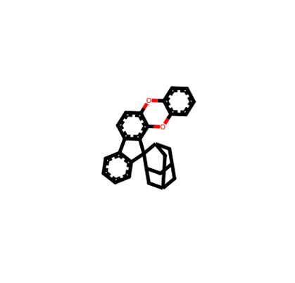 c1ccc2c(c1)Oc1ccc3c(c1O2)C1(c2ccccc2-3)C2CC3CC(C2)CC1C3